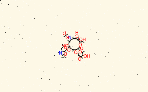 CC[C@H]1OC(=O)[C@H](C)C(OC2CC(C)(OC)C(O)C(C)O2)[C@H](C)C(OC2OC(C)CC(N(C)C)C2O[Si](C)(C)C)[C@](C)(O)C[C@@H](C)/C(=N\OC(C)(C)OC)[C@H](C)[C@@H](O)[C@]1(C)O